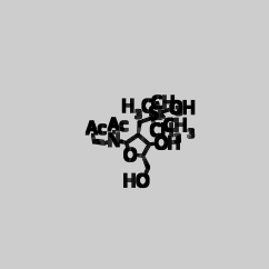 CC(=O)/C=C\N(C(C)=O)[C@@H]1O[C@H](CO)C(O)[C@@H]1CC(C)(C)[Si](C)(C)O